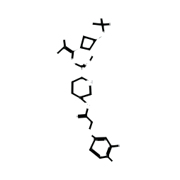 C/N=C(\OC(=C(C)C)[C@H]1C[C@@H](OC(F)(F)F)C1)[C@H]1CC[C@](S)(NC(=O)COc2ccc(Cl)c(F)c2)CN1